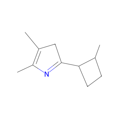 CC1=C(C)N=C(C2CCC2C)C1